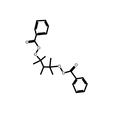 CC(C(C)(C)OOC(=O)c1ccccc1)C(C)(C)OOC(=O)c1ccccc1